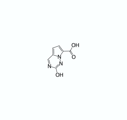 O=C(O)c1ccc2cnc(O)nn12